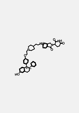 O=C1CCC(N2Cc3cc(NCCC4CCN(CCOc5ccc([C@@H]6c7ccc(O)cc7CC[C@@H]6c6ccccc6)cc5)CC4)ccc3C2=O)C(=O)N1